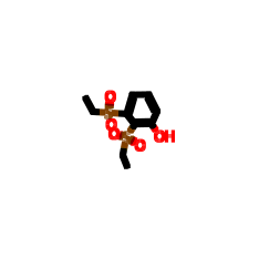 CCS(=O)(=O)c1cccc(O)c1S(=O)(=O)CC